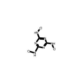 ClNc1nc(NCl)nc(NCl)n1